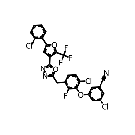 N#Cc1cc(Cl)cc(Oc2c(Cl)ccc(Cc3nnc(-c4cc(-c5ccccc5Cl)oc4C(F)(F)F)o3)c2F)c1